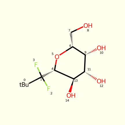 CC(C)(C)C(F)(F)[C@@H]1O[C@H](CO)[C@H](O)[C@H](O)[C@H]1O